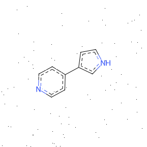 c1cc(-c2cc[nH]c2)ccn1